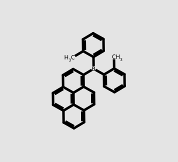 Cc1ccccc1B(c1ccccc1C)c1ccc2ccc3cccc4ccc1c2c34